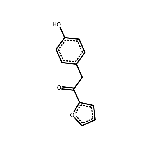 O=C(Cc1ccc(O)cc1)c1ccco1